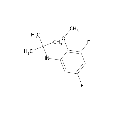 COc1c(F)cc(F)cc1NC(C)(C)C